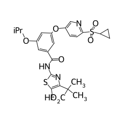 CC(C)Oc1cc(Oc2ccc(S(=O)(=O)C3CC3)nc2)cc(C(=O)Nc2nc(C(C)(C)C(=O)O)c(F)s2)c1